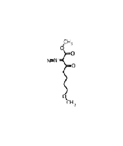 COCCCCC(=O)C(=[N+]=[N-])C(=O)OC